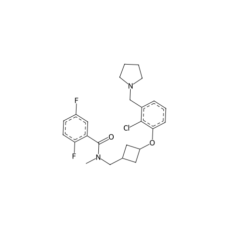 CN(CC1CC(Oc2cccc(CN3CCCC3)c2Cl)C1)C(=O)c1cc(F)ccc1F